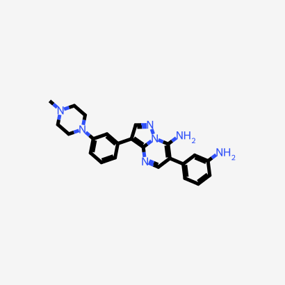 CN1CCN(c2cccc(-c3cnn4c(N)c(-c5cccc(N)c5)cnc34)c2)CC1